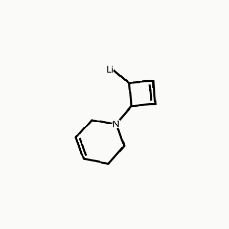 [Li][CH]1C=CC1N1CC=CCC1